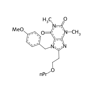 CCCOCCc1nc2c(c(=O)n(C)c(=O)n2C)n1Cc1ccc(OC)cc1